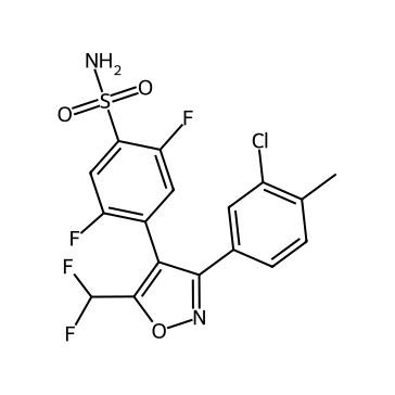 Cc1ccc(-c2noc(C(F)F)c2-c2cc(F)c(S(N)(=O)=O)cc2F)cc1Cl